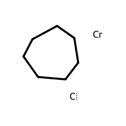 C1CCCCCC1.[C].[Cr]